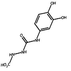 O=C(O)NNC(=O)Nc1ccc(O)c(O)c1